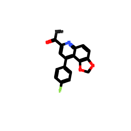 CNC(=O)c1cc(-c2ccc(F)cc2)c2c3c(ccc2n1)OCO3